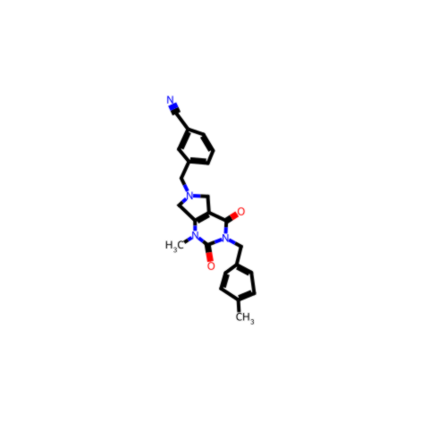 Cc1ccc(Cn2c(=O)c3c(n(C)c2=O)CN(Cc2cccc(C#N)c2)C3)cc1